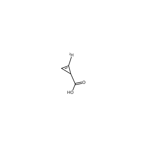 [2H]C1=CC1C(=O)O